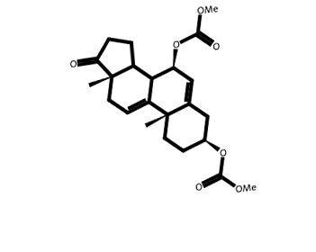 COC(=O)O[C@H]1CC[C@@]2(C)C(=C[C@H](OC(=O)OC)C3C2=CC[C@]2(C)C(=O)CCC32)C1